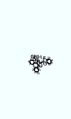 NS(=O)(=O)c1ccccc1-c1nc(COc2ccccc2F)oc1-c1ccccc1